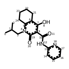 CC(C)Cn1c2c(c(O)c(C(=O)Nc3ccccn3)c1=O)CCCC2